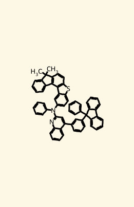 CC1(C)c2ccccc2-c2c1ccc1sc3ccc(N(c4ccccc4)c4cc(-c5cccc(C6(c7ccccc7)c7ccccc7-c7ccccc76)c5)c5ccccc5n4)cc3c21